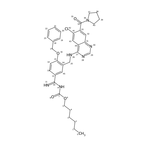 CCCCCCOC(=O)NC(=N)c1ccc(OCc2ccccc2)c(CNc2ncnc3cc(C(=O)N4CCCC4)c(Cl)cc23)c1